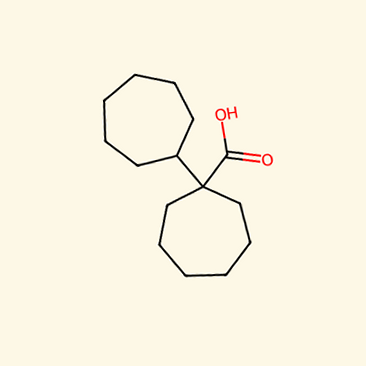 O=C(O)C1(C2CCCCCC2)CCCCCC1